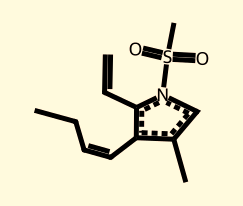 C=Cc1c(/C=C\CC)c(C)cn1S(C)(=O)=O